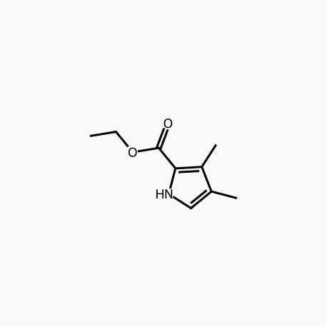 CCOC(=O)c1[nH]cc(C)c1C